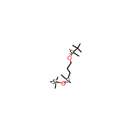 CC(C)(C)[Si](C)(C)OCCC[Si](C)(C)O[Si](C)(C)C